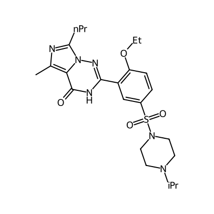 CCCc1nc(C)c2c(=O)[nH]c(-c3cc(S(=O)(=O)N4CCN(C(C)C)CC4)ccc3OCC)nn12